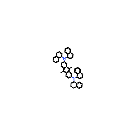 Cc1c2ccc(N(C3=CCCc4ccccc43)c3cccc4ccccc34)cc2c(C)c2cc(N(c3cccc4ccccc34)c3cccc4ccccc34)ccc12